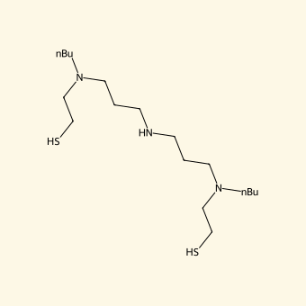 CCCCN(CCS)CCCNCCCN(CCS)CCCC